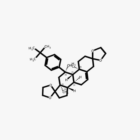 CC(C)(C)c1ccc([C@]2(O)C[C@@]3(C)[C@@H](CCC34OCCO4)[C@@H]3CC=C4CC5(CC[C@]4(C)[C@H]32)OCCO5)cc1